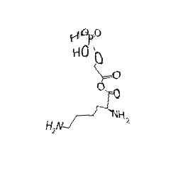 NCCCC[C@H](N)C(=O)OC(=O)COP(=O)(O)O